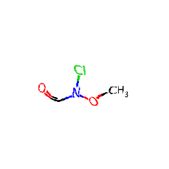 CON(Cl)C=O